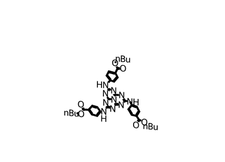 CCCCOC(=O)c1ccc(NC2=NC3=NC(Nc4ccc(C(=O)OCCCC)cc4)=NC4=NC(Nc5ccc(C(=O)OCCCC)cc5)=NC(=N2)N34)cc1